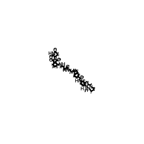 C[C@H]1CCCN1Cc1nc2cc(NC(=O)c3ccc4c(cnn4CCNC(=O)CCCNc4cccc5c4C(=O)N(C4CCC(=O)NC4=O)C5=O)c3)ccc2[nH]1